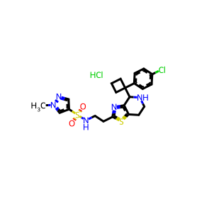 Cl.Cn1cc(S(=O)(=O)NCCc2nc3c(s2)CCNC3C2(c3ccc(Cl)cc3)CCC2)cn1